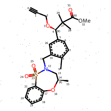 C#CCO[C@H](c1ccc(C)c(CN2C[C@@H](C)Oc3ccccc3S2(=O)=O)c1)C(C)(C)C(=O)OC